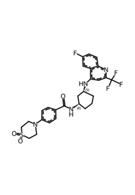 O=C(N[C@@H]1CCC[C@H](Nc2cc(C(F)(F)F)nc3ccc(F)cc23)C1)c1ccc(N2CCS(=O)(=O)CC2)cc1